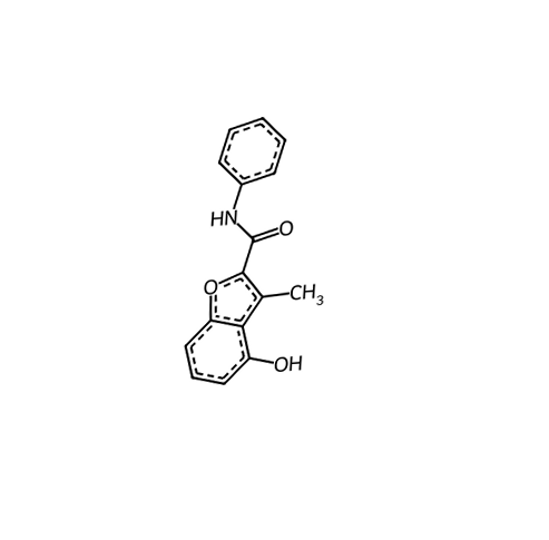 Cc1c(C(=O)Nc2ccccc2)oc2cccc(O)c12